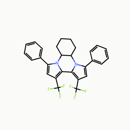 FC(F)(F)c1cc(-c2ccccc2)n2c1-c1c(C(F)(F)F)cc(-c3ccccc3)n1C1CCCCC12